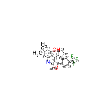 CC1(C)Cc2nc3c(c(C4CCCC4)c2[C@@H](O)C1)C(c1ccc(C(F)(F)F)cc1)OC3